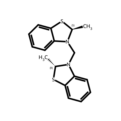 C[C@@H]1Sc2ccccc2N1CN1c2ccccc2S[C@@H]1C